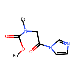 CCN(CC(=O)n1ccnc1)C(=O)OC(C)(C)C